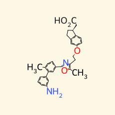 Cc1ccc(-c2nc(CCOc3ccc4c(c3)CC[C@H]4CC(=O)O)c(C)o2)cc1-c1cccc(N)c1